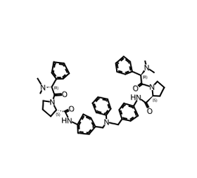 CN(C)[C@@H](C(=O)N1CCC[C@H]1C(=O)Nc1ccc(CN(Cc2ccc(NC(=O)[C@@H]3CCCN3C(=O)[C@@H](c3ccccc3)N(C)C)cc2)c2ccccc2)cc1)c1ccccc1